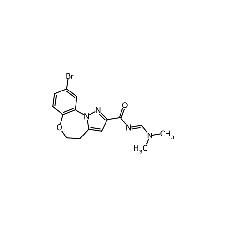 CN(C)/C=N/C(=O)c1cc2n(n1)-c1cc(Br)ccc1OCC2